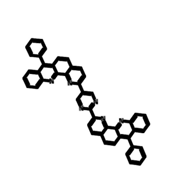 c1ccc(-c2c3ccccc3nc3c2ccc2ccc(-c4cnc(-c5ccc6ccc7c(-c8ccccc8)c8ccccc8nc7c6n5)nc4)nc23)cc1